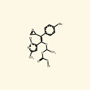 CCSC(=O)OC(C)O/C(=C(\c1ccc(C(C)(C)C)cc1)C1C=N1)c1cc(C)nn1CC